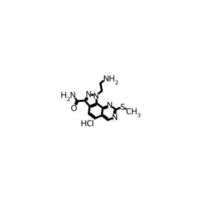 CSc1ncc2ccc3c(C(N)=O)nn(CCN)c3c2n1.Cl